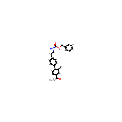 COC(=O)c1ccc(-c2ccc(CCNC(=O)OCc3ccccc3)cc2)c(C)c1